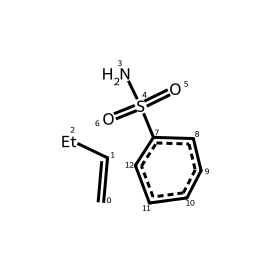 C=CCC.NS(=O)(=O)c1ccccc1